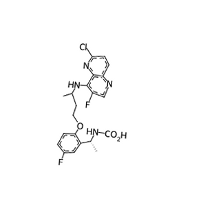 CC(CCOc1ccc(F)cc1[C@@H](C)NC(=O)O)Nc1c(F)cnc2ccc(Cl)nc12